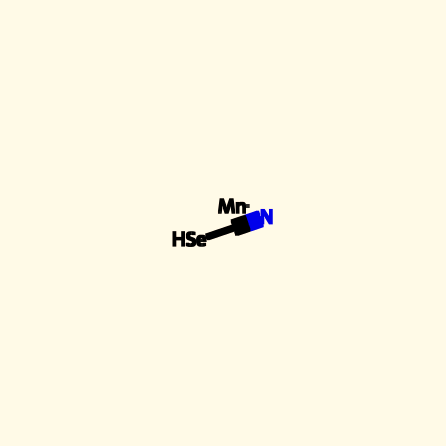 N#C[SeH].[Mn]